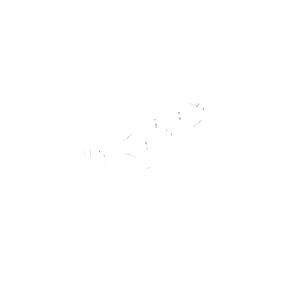 N[C@H]1CCCS(=O)(=O)c2cc(C(=O)Nc3ccncc3)ccc21